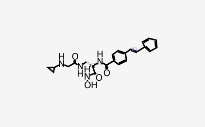 O=C(CNC1CC1)NC[C@H](NC(=O)c1ccc(/C=C/c2ccccc2)cc1)C(=O)NO